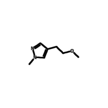 COCCc1cnn(C)c1